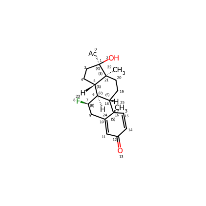 CC(=O)[C@@]1(O)CC[C@H]2[C@@H]3[C@H](F)CC4=CC(=O)C=C[C@]4(C)[C@H]3CC[C@@]21C